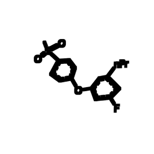 CCCc1cc(F)cc(Oc2ccc(S(C)(=O)=O)cc2)c1